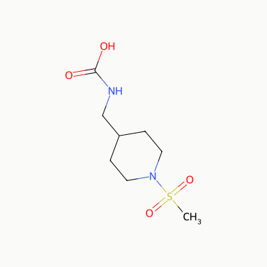 CS(=O)(=O)N1CCC(CNC(=O)O)CC1